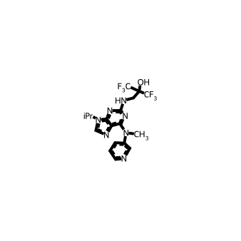 CC(C)n1cnc2c(N(C)c3cccnc3)nc(NCC(O)(C(F)(F)F)C(F)(F)F)nc21